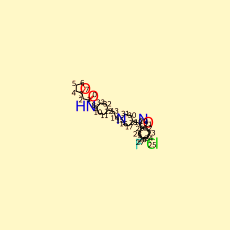 O=C(CC1CCCO1)NC1CCC(CCN2CCC(c3noc4cc(Cl)c(F)cc34)CC2)CC1